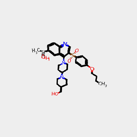 CCCCOc1ccc(S(=O)(=O)c2cnc3ccc([SiH](C)O)cc3c2N2CCC(N3CCC(CO)CC3)CC2)cc1